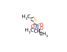 CCC(=O)N1[C@@H](C=O)[C@@H](c2cc(C)cs2)OC1(C)C